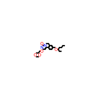 CCCCC(CC)OCc1ccc2c(c1)CCn1c-2cc(OCC2COCCO2)nc1=O